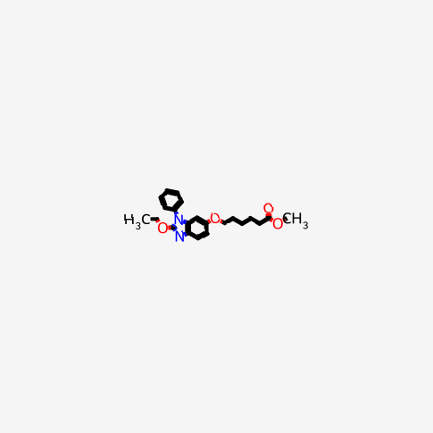 CCOc1nc2ccc(OCCCCCC(=O)OC)cc2n1-c1ccccc1